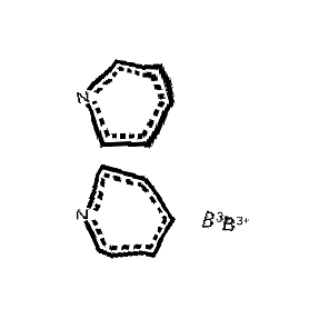 [B+3].[B+3].c1ccncc1.c1ccncc1